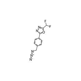 [N-]=[N+]=NCc1ccc(-c2nnc(C(F)F)o2)cc1